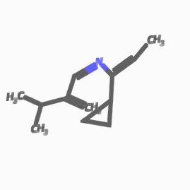 C=C(/C=N\C(=C/C)C1CC1)C(C)C